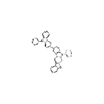 C1=C2c3ccccc3SC2Cc2c1c1cc(-c3ccc4c(c3)c3ccccc3n4-c3ccccc3)ccc1n2-c1ccccc1